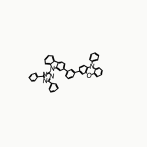 c1ccc(-c2nc(-c3ccccc3)nc(-n3c4ccccc4c4ccc(-c5cccc(-c6ccc7c(c6)Oc6ccccc6N7c6ccccc6)c5)cc43)n2)cc1